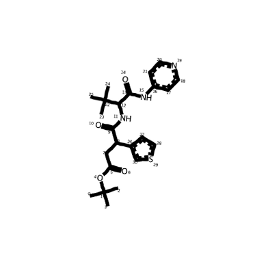 CC(C)(C)OC(=O)CC(C(=O)NC(C(=O)Nc1ccncc1)C(C)(C)C)c1ccsc1